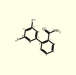 NC(=O)c1[c]cccc1-c1cc(F)cc(F)c1